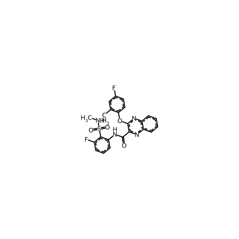 CNS(=O)(=O)c1c(F)cccc1NC(=O)c1nc2ccccc2nc1Oc1ccc(F)cc1C